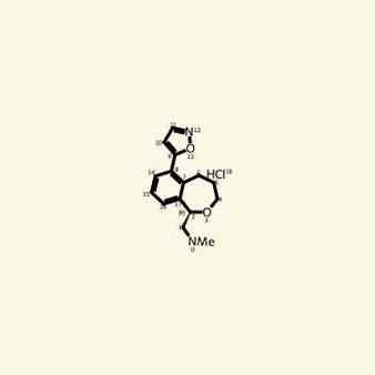 CNC[C@@H]1OCCCc2c(-c3ccno3)cccc21.Cl